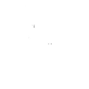 CCCCOc1ccc(C(C)(C)C)cc1NC(=O)c1nnn(-c2cccnc2OC)c1C